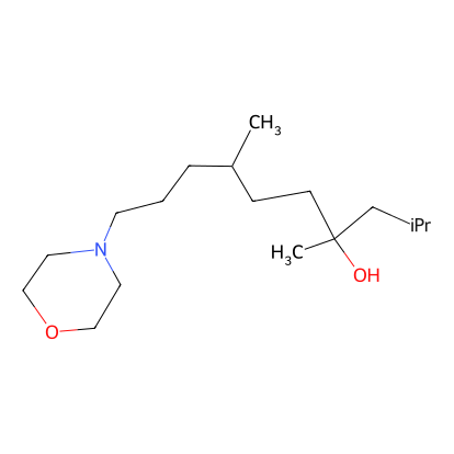 CC(C)CC(C)(O)CCC(C)CCCN1CCOCC1